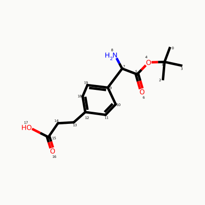 CC(C)(C)OC(=O)C(N)c1ccc(CCC(=O)O)cc1